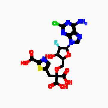 Nc1nc(Cl)nc2c1ncn2[C@@H]1O[C@H](COC(Cc2cnc(C(=O)O)s2)(C(=O)O)C(=O)O)[C@@H](O)[C@@H]1F